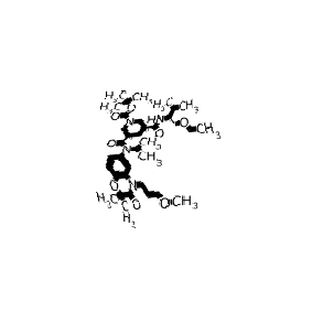 CCOC[C@H](NC(=O)[C@H]1C[C@@H](C(=O)N(c2ccc3c(c2)N(CCCOC)C(=O)C(C)(C)O3)C(C)C)CN(C(=O)OC(C)(C)C)C1)C(C)C